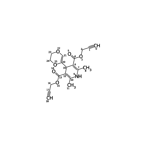 C#CCOC(=O)C1=C(C)NC(C)=C(C(=O)OCC#C)C1C1=COCCO1